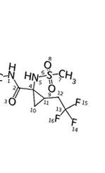 CNC(=O)C1(NS(C)(=O)=O)CC1CC(F)(F)F